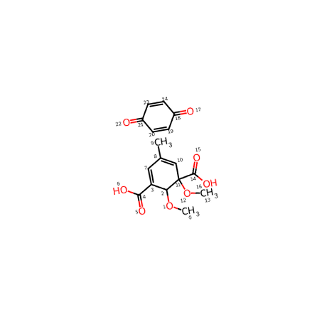 COC1C(C(=O)O)=CC(C)=CC1(OC)C(=O)O.O=C1C=CC(=O)C=C1